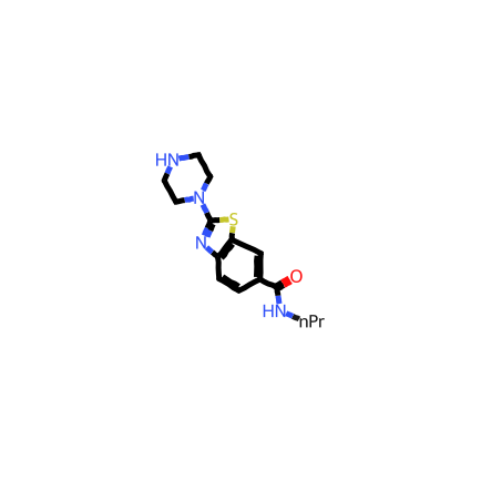 CCCNC(=O)c1ccc2nc(N3CCNCC3)sc2c1